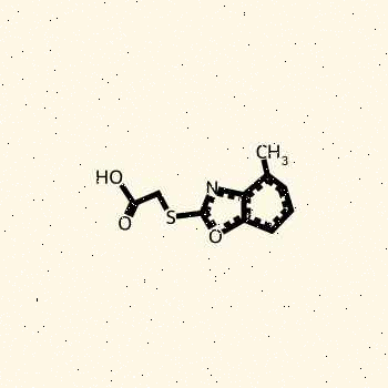 Cc1cccc2oc(SCC(=O)O)nc12